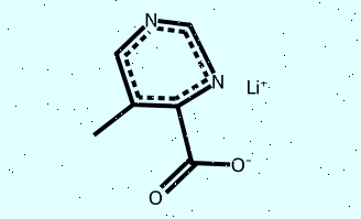 Cc1cncnc1C(=O)[O-].[Li+]